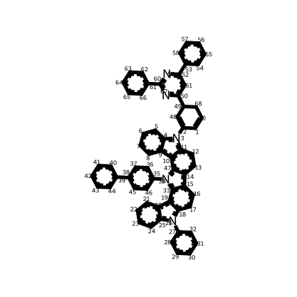 C1=CC(n2c3ccccc3c3c2ccc2c4ccc5c(c6ccccc6n5-c5ccccc5)c4n(-c4ccc(-c5ccccc5)cc4)c23)=CC(c2cc(-c3ccccc3)nc(-c3ccccc3)n2)C1